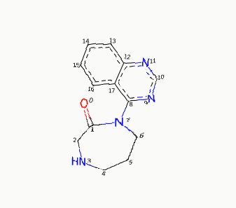 O=C1CNCCCN1c1ncnc2ccccc12